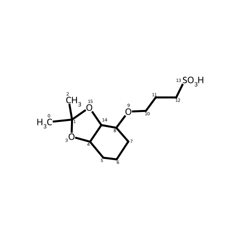 CC1(C)OC2CCCC(OCCCS(=O)(=O)O)C2O1